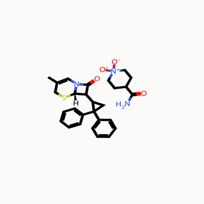 CC1=CN2C(=O)C(C3CC3(c3ccccc3)c3ccccc3)[C@@H]2SC1.NC(=O)C1CC[N+]([O-])([O-])CC1